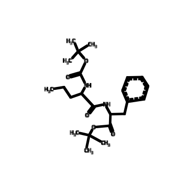 CCCC(NC(=O)OC(C)(C)C)C(=O)NC(Cc1ccccc1)C(=O)OC(C)(C)C